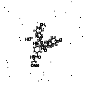 COCCNC(=O)C1CCC(NC(=O)c2nc3c(s2)CN(C)CC3)C(NC(=O)c2cc3cc(Cl)ccc3[nH]2)C1.Cl